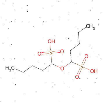 CCCCC(OC(CCCC)S(=O)(=O)O)S(=O)(=O)O